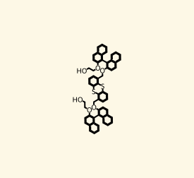 OCCOc1ccc2ccccc2c1-c1c(OCc2cccc3c2Sc2cccc(COc4ccc5ccccc5c4-c4c(OCCO)ccc5ccccc45)c2S3)ccc2ccccc12